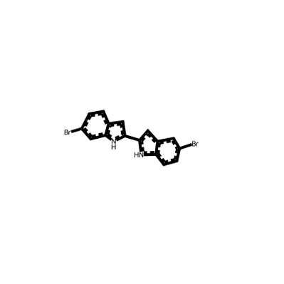 Brc1ccc2[nH]c(-c3cc4ccc(Br)cc4[nH]3)cc2c1